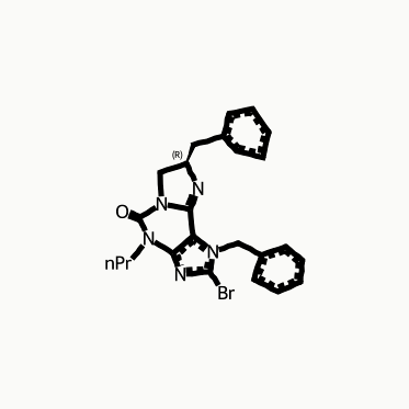 CCCN1C(=O)N2C[C@@H](Cc3ccccc3)N=C2c2c1nc(Br)n2Cc1ccccc1